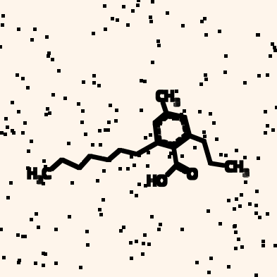 CCCCCCCc1cc(C)cc(CCC)c1C(=O)O